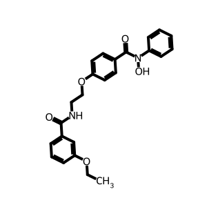 CCOc1cccc(C(=O)NCCOc2ccc(C(=O)N(O)c3ccccc3)cc2)c1